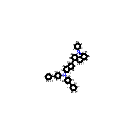 c1ccc(-c2ccc(N(c3ccc(-c4ccccc4)cc3)c3ccc4cc(-c5ccc6c7c5ccc5cccc(c57)n6-c5ccccc5)ccc4c3)cc2)cc1